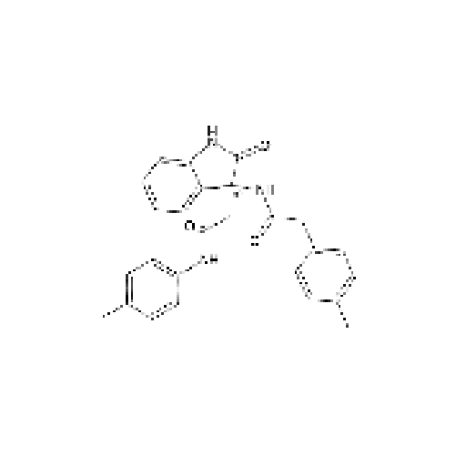 Cc1ccc(CC(=O)N[C@]2(CC(=O)Nc3ccc(C)cc3)C(=O)Nc3ccccc32)cc1